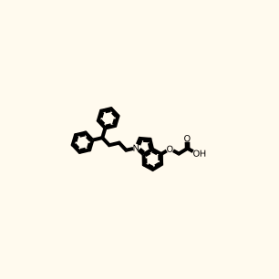 O=C(O)COc1cccc2c1ccn2CCCC(c1ccccc1)c1ccccc1